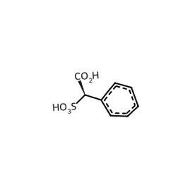 O=C(O)[C@@H](c1ccccc1)S(=O)(=O)O